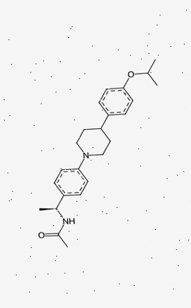 CC(=O)N[C@@H](C)c1ccc(N2CCC(c3ccc(OC(C)C)cc3)CC2)cc1